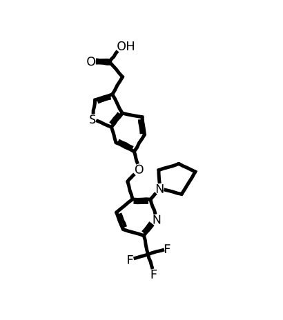 O=C(O)Cc1csc2cc(OCc3ccc(C(F)(F)F)nc3N3CCCC3)ccc12